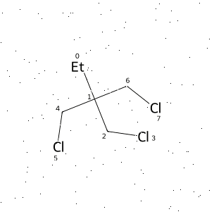 CCC(CCl)(CCl)CCl